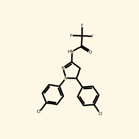 O=C(NC1=NN(c2ccc(Cl)cc2)C(c2ccc(Cl)cc2)C1)C(F)(F)F